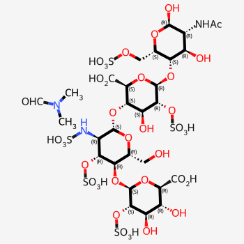 CC(=O)N[C@@H]1[C@@H](O)[C@H](O[C@@H]2O[C@H](C(=O)O)[C@@H](O[C@@H]3O[C@H](CO)[C@@H](O[C@H]4O[C@@H](C(=O)O)[C@H](O)[C@@H](O)[C@@H]4OS(=O)(=O)O)[C@H](OS(=O)(=O)O)[C@H]3NS(=O)(=O)O)[C@H](O)[C@H]2OS(=O)(=O)O)[C@H](COS(=O)(=O)O)O[C@H]1O.CN(C)C=O